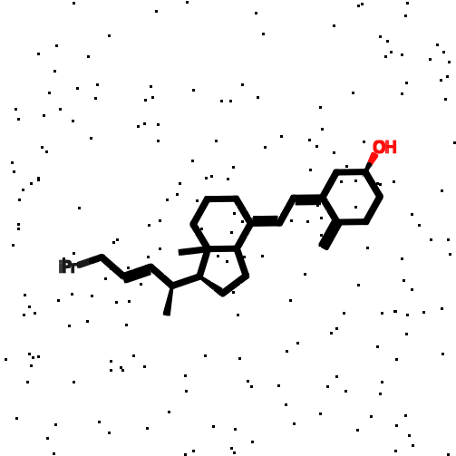 C=C1CC[C@H](O)C/C1=C/C=C1\CCCC2(C)C1CC[C@H]2[C@@H](C)/C=C/CC(C)C